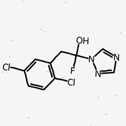 OC(F)(Cc1cc(Cl)ccc1Cl)n1cncn1